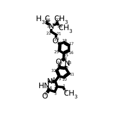 CCC1CC(=O)NN=C1c1ccc2nc(-c3cccc(OCCN(CC)C(C)C)c3)oc2c1